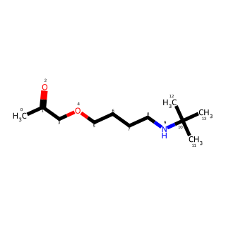 CC(=O)COCCCCNC(C)(C)C